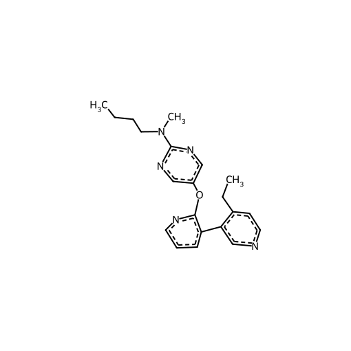 CCCCN(C)c1ncc(Oc2ncccc2-c2cnccc2CC)cn1